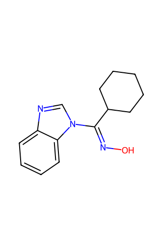 ON=C(C1CCCCC1)n1cnc2ccccc21